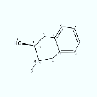 C[C@H]1Cc2ccccc2C[C@@H]1O